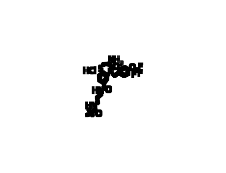 CC(C)(C)C(=O)NCCCNC(=O)c1ccc2c(c1)N(Cc1ccc(OC(F)(F)F)cc1)C(=O)[C@@H](N)CS2.Cl